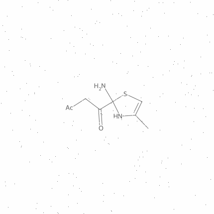 CC(=O)CC(=O)C1(N)NC(C)=CS1